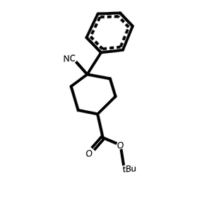 CC(C)(C)OC(=O)C1CCC(C#N)(c2ccccc2)CC1